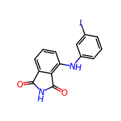 O=C1NC(=O)c2c(Nc3cccc(I)c3)cccc21